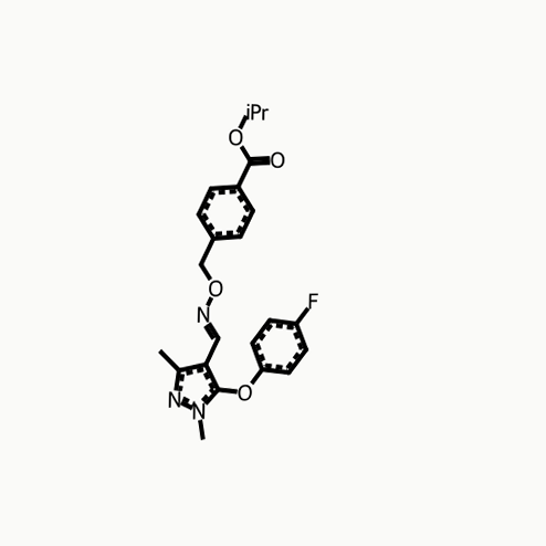 Cc1nn(C)c(Oc2ccc(F)cc2)c1C=NOCc1ccc(C(=O)OC(C)C)cc1